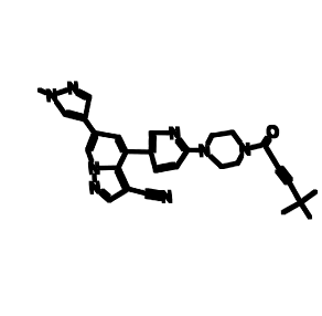 Cn1cc(-c2cc(-c3ccc(N4CCN(C(=O)C#CC(C)(C)C)CC4)nc3)c3c(C#N)cnn3c2)cn1